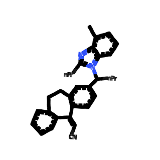 CCCc1nc2c(C)cccc2n1C(CCC)c1ccc2c(c1)CCc1ccccc1C2=CC#N